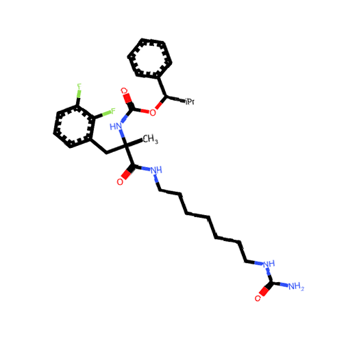 CC(C)C(OC(=O)NC(C)(Cc1cccc(F)c1F)C(=O)NCCCCCCCNC(N)=O)c1ccccc1